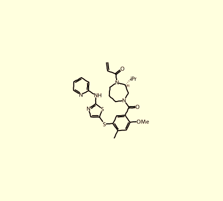 C=CC(=O)N1CCCN(C(=O)c2cc(Sc3cnc(Nc4ccccn4)s3)c(C)cc2OC)C[C@H]1C(C)C